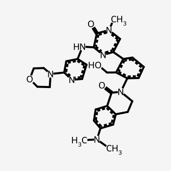 CN(C)c1ccc2c(c1)CCN(c1cccc(-c3cn(C)c(=O)c(Nc4ccnc(N5CCOCC5)c4)n3)c1CO)C2=O